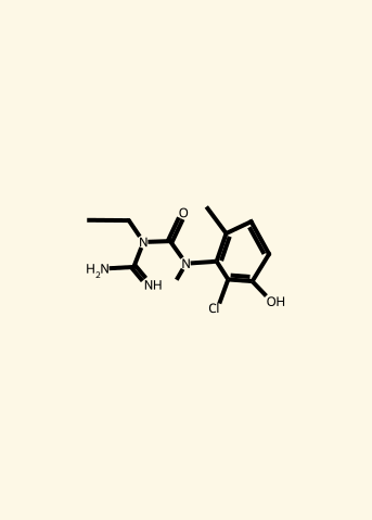 CCN(C(=N)N)C(=O)N(C)c1c(C)ccc(O)c1Cl